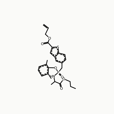 C=CCOC(=O)c1cc2cc(CP(=O)(NC(C)C(=O)OCCC)Oc3c(C)cccc3C)ccc2s1